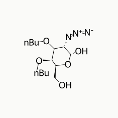 CCCCOC1[C@H](N=[N+]=[N-])[C@H](O)O[C@@H](CO)[C@H]1OCCCC